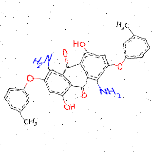 Cc1cccc(Oc2cc(O)c3c(c2N)C(=O)c2c(O)cc(Oc4cccc(C)c4)c(N)c2C3=O)c1